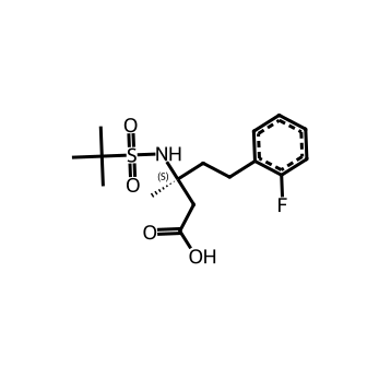 CC(C)(C)S(=O)(=O)N[C@@](C)(CCc1ccccc1F)CC(=O)O